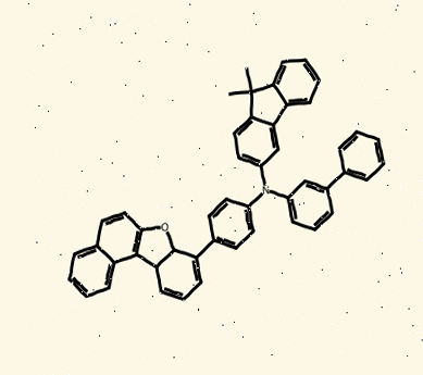 CC1(C)c2ccccc2-c2cc(N(c3ccc(C4=CC=CC5c6c(ccc7ccccc67)OC45)cc3)c3cccc(-c4ccccc4)c3)ccc21